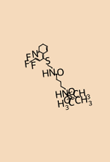 CC(C)(C)S(=O)(=O)NCCCCC(=O)NCCSc1cc(C(F)(F)F)nc2c1C=CCC2